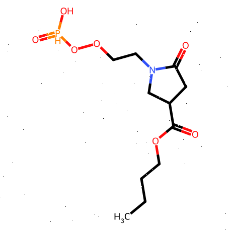 CCCCOC(=O)C1CC(=O)N(CCOO[PH](=O)O)C1